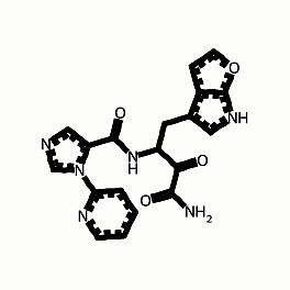 NC(=O)C(=O)C(Cc1c[nH]c2occc12)NC(=O)c1cncn1-c1ccccn1